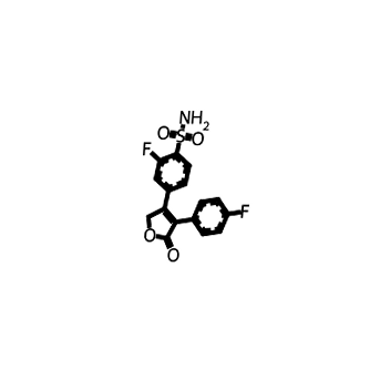 NS(=O)(=O)c1ccc(C2=C(c3ccc(F)cc3)C(=O)OC2)cc1F